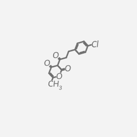 CC1=CC(=O)C(C(=O)CCc2ccc(Cl)cc2)C(=O)O1